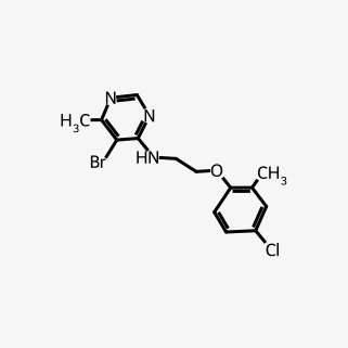 Cc1cc(Cl)ccc1OCCNc1ncnc(C)c1Br